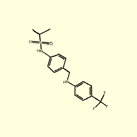 CC(C)S(=O)(=O)Nc1ccc(CNc2ccc(C(F)(F)F)cc2)cc1